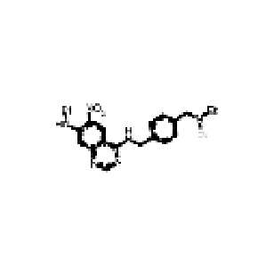 CCNc1cc2ncnc(NCc3ccc(CN(CC)CC)cc3)c2cc1[N+](=O)[O-]